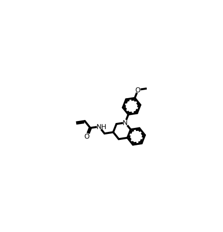 C=CC(=O)NCC1Cc2ccccc2N(c2ccc(OC)cc2)C1